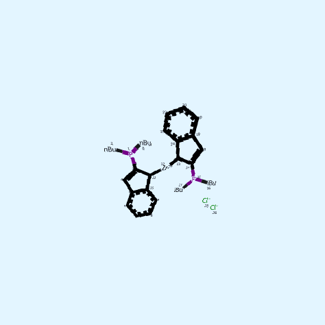 CCCCP(CCCC)C1=Cc2ccccc2[CH]1[Zr+2][CH]1C(P(C(C)CC)C(C)CC)=Cc2ccccc21.[Cl-].[Cl-]